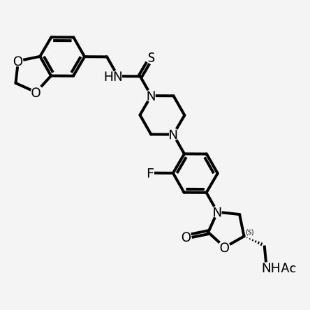 CC(=O)NC[C@H]1CN(c2ccc(N3CCN(C(=S)NCc4ccc5c(c4)OCO5)CC3)c(F)c2)C(=O)O1